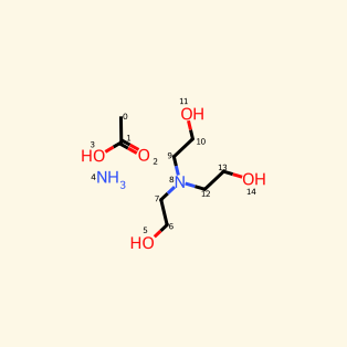 CC(=O)O.N.OCCN(CCO)CCO